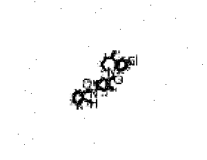 C=C1CCCN(C(=O)c2ccc(NC(=O)c3ccccc3C)cc2C)c2ccc(Cl)cc21